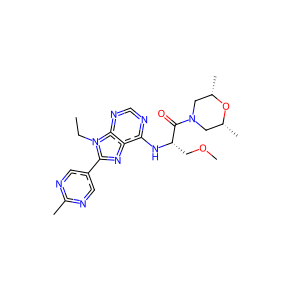 CCn1c(-c2cnc(C)nc2)nc2c(N[C@@H](COC)C(=O)N3C[C@@H](C)O[C@@H](C)C3)ncnc21